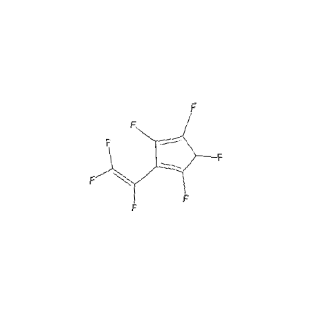 FC(F)=C(F)C1=C(F)C(F)C(F)=C1F